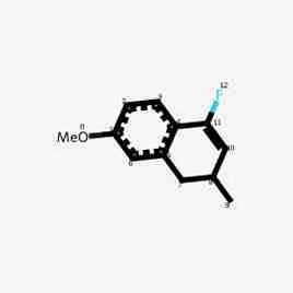 COc1ccc2c(c1)CC(C)C=C2F